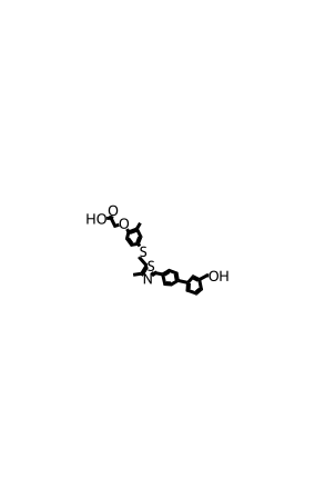 Cc1cc(SCc2sc(-c3ccc(-c4cccc(CO)c4)cc3)nc2C)ccc1OCC(=O)O